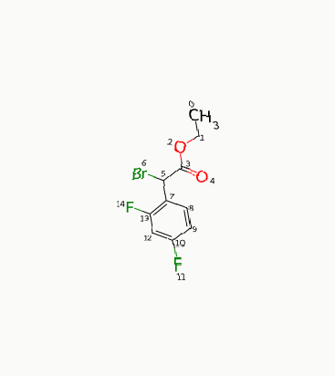 CCOC(=O)C(Br)c1ccc(F)cc1F